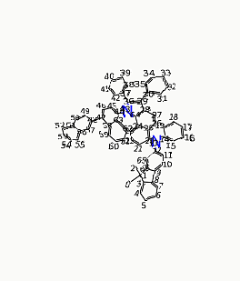 CC1(C)c2ccccc2-c2ccc(N(c3ccccc3)c3cccc4c3ccc3c(-c5ccccc5)c(-c5ccccc5)n(-c5ccc(-c6ccc7ccccc7c6)c6ccccc56)c34)cc21